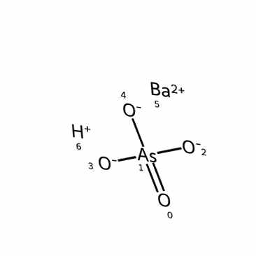 O=[As]([O-])([O-])[O-].[Ba+2].[H+]